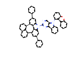 c1ccc(-c2cc3c4c5c(cc(-c6ccccc6)cc5n(-c5ncc6c(n5)c5ccccc5n6-c5cccc6oc7ccccc7c56)c4c2)-c2cccc4cccc-3c24)cc1